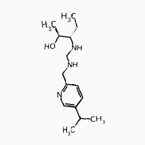 CC[C@H](NCNCc1ccc(C(C)C)cn1)[C@H](C)O